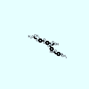 COc1ccc(CC(=O)Nc2ccc(C(=O)N(CC(=O)O)Cc3ccc(OC(=O)c4ccc(OCCC(C)C)cc4)cc3)cc2)cc1